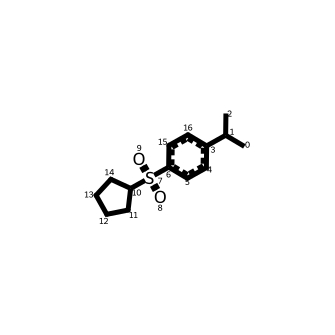 CC(C)c1ccc(S(=O)(=O)C2CCCC2)cc1